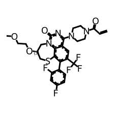 C=CC(=O)N1CCN(c2nc(=O)n3c4c(c(-c5ccc(F)cc5F)c(C(F)(F)F)cc24)SC[C@@H](OCCOC)C3)CC1